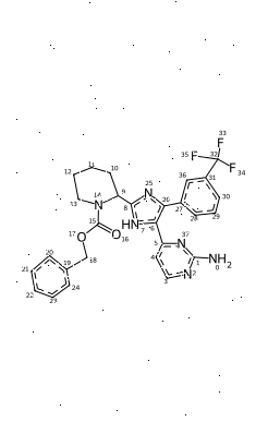 Nc1nccc(-c2[nH]c(C3CCCCN3C(=O)OCc3ccccc3)nc2-c2cccc(C(F)(F)F)c2)n1